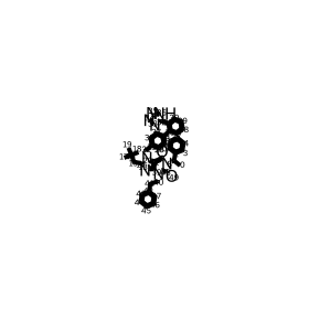 CC(c1ccccc1)n1c(=O)c2c(nc(CC(C)(C)C)n2Cc2ccc(-c3ccccc3-c3nnn[nH]3)cc2)n(CCc2ccccc2)c1=O